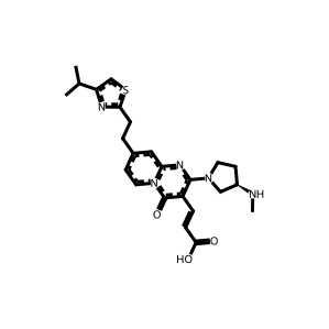 CN[C@@H]1CCN(c2nc3cc(CCc4nc(C(C)C)cs4)ccn3c(=O)c2C=CC(=O)O)C1